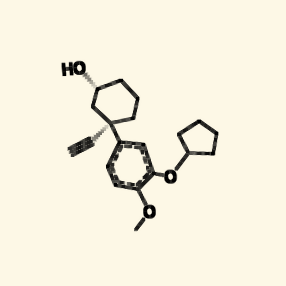 C#C[C@@]1(c2ccc(OC)c(OC3CCCC3)c2)CCC[C@@H](O)C1